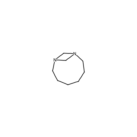 C1CCCN2CN(CC1)C2